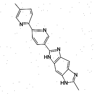 Cc1ccc(-c2ccc(-c3nc4cc5nc(C)[nH]c5cc4[nH]3)cn2)nc1